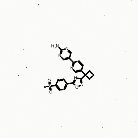 CS(=O)(=O)c1ccc(-c2nc(C3(c4ccc(-c5cnc(N)nc5)nc4)CCC3)no2)cc1